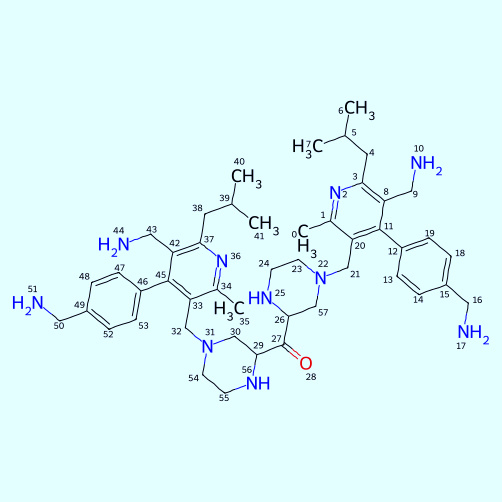 Cc1nc(CC(C)C)c(CN)c(-c2ccc(CN)cc2)c1CN1CCNC(C(=O)C2CN(Cc3c(C)nc(CC(C)C)c(CN)c3-c3ccc(CN)cc3)CCN2)C1